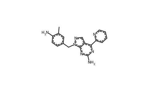 Cc1cc(Cn2ncc3c(-c4ccccn4)nc(N)nc32)ccc1N